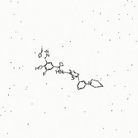 CC(=O)N(C)N=Cc1cc(C(=O)Nc2ncc(-c3cccc(N4CCCC4)c3)s2)cc(F)c1O